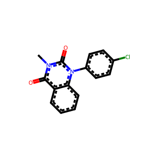 Cn1c(=O)c2ccccc2n(-c2ccc(Cl)cc2)c1=O